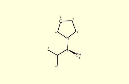 CC(C)[C@H](S)C1CCOC1